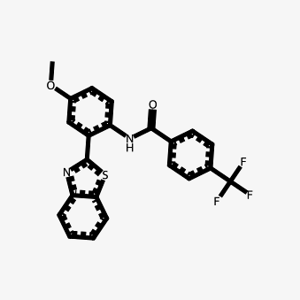 COc1ccc(NC(=O)c2ccc(C(F)(F)F)cc2)c(-c2nc3ccccc3s2)c1